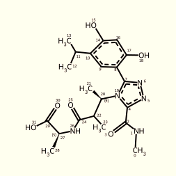 CNC(=O)c1nnc(-c2cc(C(C)C)c(O)cc2O)n1[C@H](C)C(C)C(=O)N[C@@H](C)C(=O)O